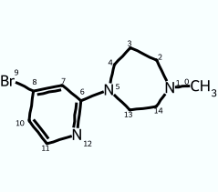 CN1CCCN(c2cc(Br)ccn2)CC1